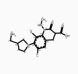 CNN1C(=O)C(C(=O)O)Cc2cc(F)c(N3CCC(CN)C3)c(F)c21